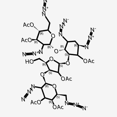 CC(=O)OC1[C@H](O[C@@H]2C(OC(C)=O)[C@H](N=[N+]=[N-])CC(N=[N+]=[N-])[C@H]2O[C@H]2OC(CN=[N+]=[N-])[C@@H](OC(C)=O)[C@H](OC(C)=O)C2N=[N+]=[N-])O[C@H](CO)[C@@H]1O[C@H]1O[C@@H](CN=[N+]=[N-])[C@@H](OC(C)=O)C(OC(C)=O)C1N=[N+]=[N-]